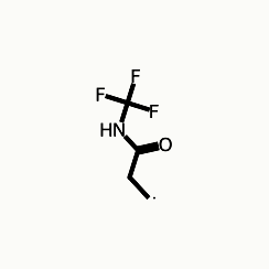 [CH2]CC(=O)NC(F)(F)F